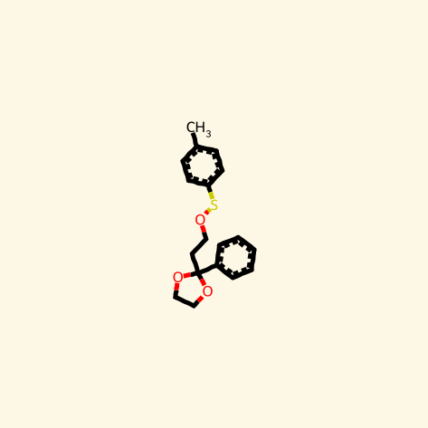 Cc1ccc(SOCCC2(c3ccccc3)OCCO2)cc1